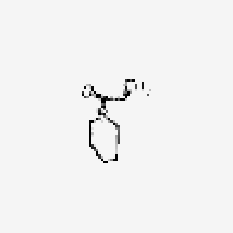 C=CC(=O)N1[CH]CCCC1